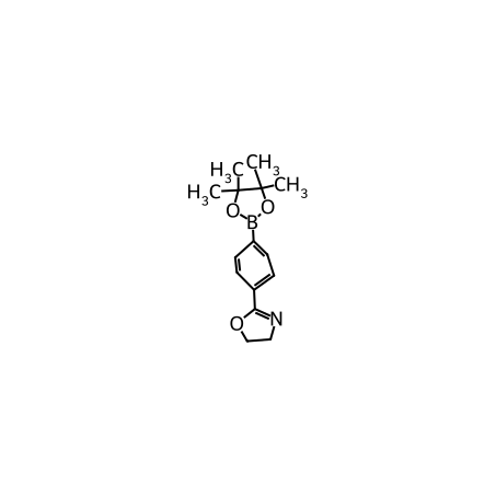 CC1(C)OB(c2ccc(C3=NCCO3)cc2)OC1(C)C